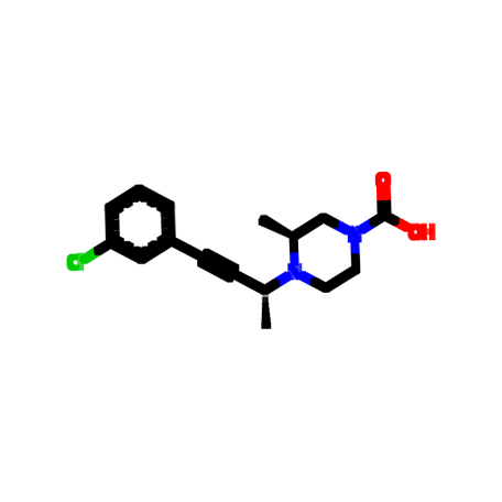 C[C@H](C#Cc1cccc(Cl)c1)N1CCN(C(=O)O)C[C@@H]1C